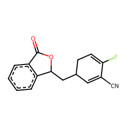 N#CC1=CC(CC2OC(=O)c3ccccc32)CC=C1F